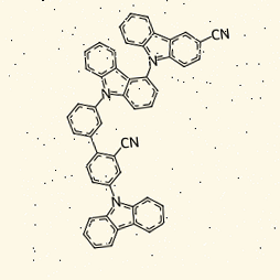 N#Cc1ccc2c(c1)c1ccccc1n2-c1cccc2c1c1ccccc1n2-c1cccc(-c2ccc(-n3c4ccccc4c4ccccc43)cc2C#N)c1